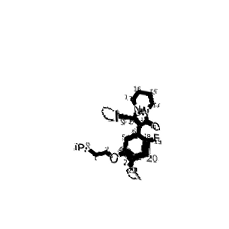 CC(C)CCOc1cc(-c2c(Cl)n3n(c2=O)CCCC3)c(F)cc1Cl